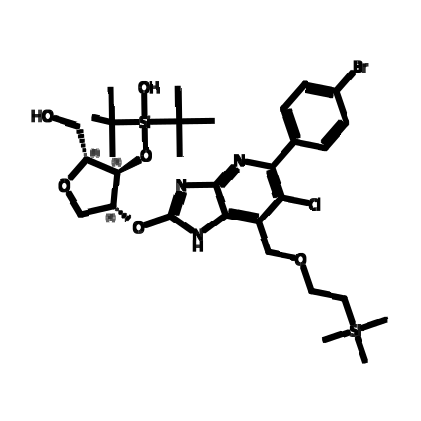 CC(C)(C)[Si](O)(O[C@@H]1[C@@H](CO)OC[C@H]1Oc1nc2nc(-c3ccc(Br)cc3)c(Cl)c(COCC[Si](C)(C)C)c2[nH]1)C(C)(C)C